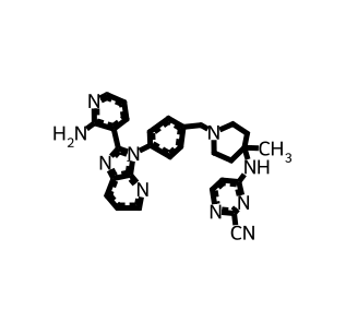 CC1(Nc2ccnc(C#N)n2)CCN(Cc2ccc(-n3c(-c4cccnc4N)nc4cccnc43)cc2)CC1